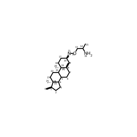 C=C1CCC2C3CCC4=CC(=NOCC(C)N)CC[C@]4(C)C3CC[C@]12C